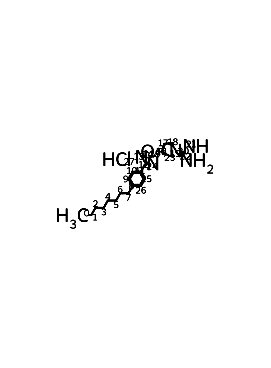 CCCCCCCCc1ccc(-c2noc([C@@H]3CCN(C(=N)N)C3)n2)cc1.Cl